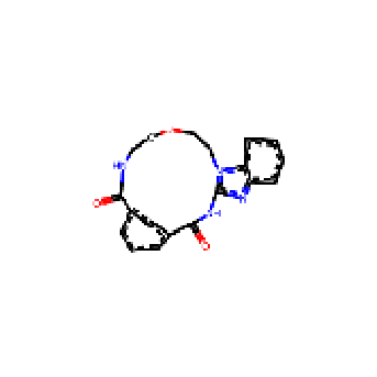 O=C1NCCOCCn2c(nc3ccccc32)NC(=O)c2cccc1c2